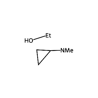 CCO.CNC1CC1